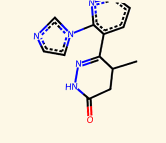 CC1CC(=O)NN=C1c1cccnc1-n1ccnc1